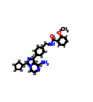 COc1ccccc1C(=O)NCc1ccc(-c2nc(C3CCCC3)n3ccnc(N)c23)cc1